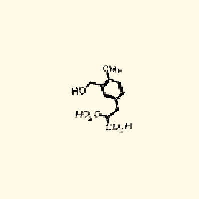 COc1ccc(CC(C(=O)O)C(=O)O)cc1CO